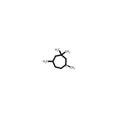 CC1CC[C@H](C)CC(C)(C)C1